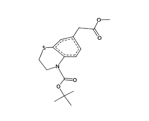 COC(=O)Cc1ccc2c(c1)SCCN2C(=O)OC(C)(C)C